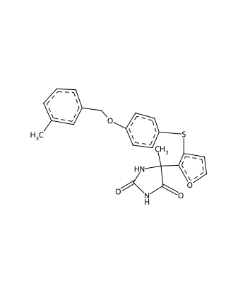 Cc1cccc(COc2ccc(Sc3ccoc3C3(C)NC(=O)NC3=O)cc2)c1